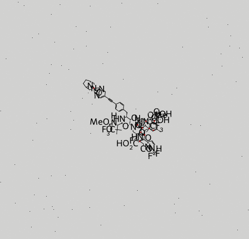 COC(=O)N[C@H](C(=O)N[C@@H](Cc1ccc(C#Cc2cnc(N3CC4CCC(C3)N4C3COC3)nc2)cc1)[C@H](CN(Cc1c(F)cc(-c2ccn(C(F)F)n2)cc1F)NC(=O)[C@@H](NC(=O)OC)C(C)(C)C(F)(F)F)OC(=O)CC(C)(C)c1c(CC(=O)N[C@@H](CC(=O)O)C(=O)O)cc(C)cc1OP(=O)(O)O)C(C)(C)C(F)(F)F